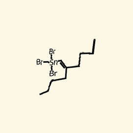 CCCCC(=[CH][Sn]([Br])([Br])[Br])CCCC